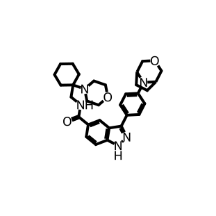 O=C(NCC1(N2CCOCC2)CCCCC1)c1ccc2[nH]nc(-c3ccc(N4C5CCC4COC5)cc3)c2c1